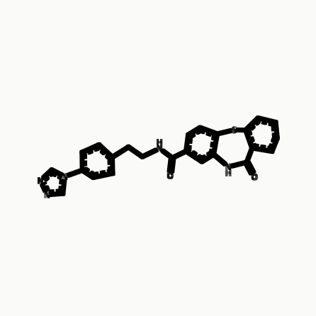 O=C(NCCc1ccc(-n2cnnc2)cc1)c1ccc2c(c1)NC(=O)c1ccccc1S2